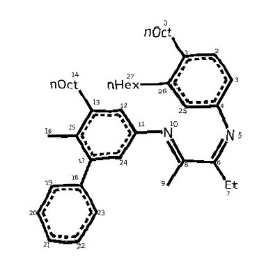 CCCCCCCCc1ccc(N=C(CC)C(C)=Nc2cc(CCCCCCCC)c(C)c(-c3ccccc3)c2)cc1CCCCCC